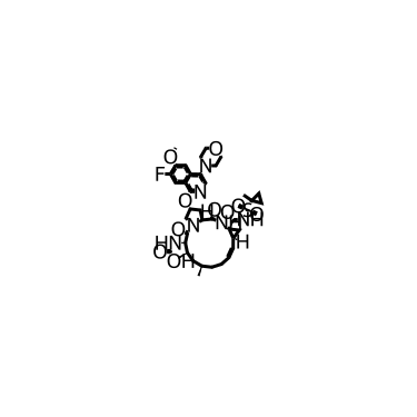 COc1cc2c(N3CCOCC3)cnc(O[C@@H]3C[C@H]4C(=O)N[C@]5(C(=O)NS(=O)(=O)C6(C)CC6)C[C@H]5/C=C\CC[C@@H](C)C[C@@H](C)[C@H](NC(=O)O)C(=O)N4C3)c2cc1F